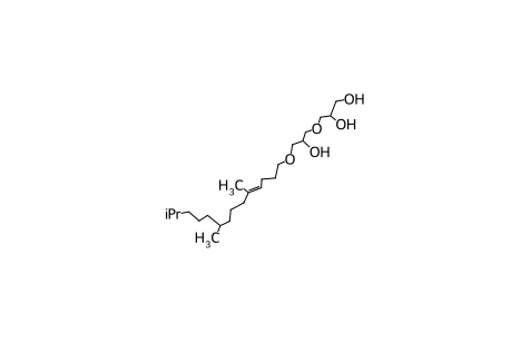 C/C(=C\CCCOCC(O)COCC(O)CO)CCCC(C)CCCC(C)C